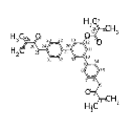 C=C(C)C(=O)Cc1ccc(-c2cc(OC(=O)C(=C)C)cc(-c3ccc(CC(=O)C(=C)C)cc3)c2)cc1